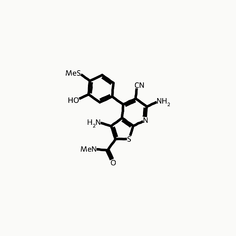 CNC(=O)c1sc2nc(N)c(C#N)c(-c3ccc(SC)c(O)c3)c2c1N